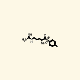 Cc1ccc(S(=O)(=O)C(=O)[C@H]([NH])CCCNC(=N)N)cc1